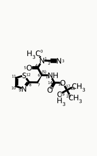 CN(C#N)C(=O)[C@H](Cc1nccs1)NC(=O)OC(C)(C)C